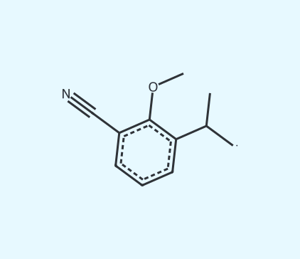 [CH2]C(C)c1cccc(C#N)c1OC